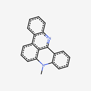 CN1c2ccccc2-c2nc3ccccc3c3cccc1c23